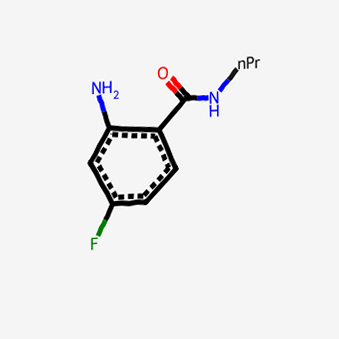 CCCNC(=O)c1ccc(F)cc1N